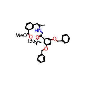 COC(=O)c1cccc(C[C@@H](C)NC[C@H](O[Si](C)(C)C(C)(C)C)c2cc(OCc3ccccc3)cc(OCc3ccccc3)c2)c1